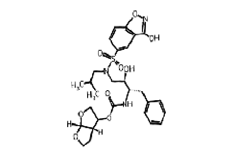 CC(C)CN(C[C@@H](O)[C@H](Cc1ccccc1)NC(=O)OC1CO[C@H]2OCC[C@@H]12)S(=O)(=O)c1ccc2onc(O)c2c1